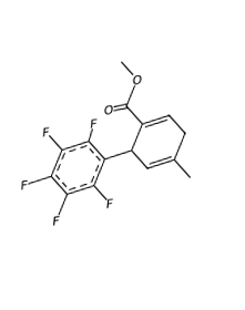 COC(=O)C1=CCC(C)=CC1c1c(F)c(F)c(F)c(F)c1F